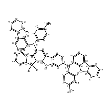 CC(C)c1ccc(N(c2ccc3c(c2)sc2c4c(c(N(c5ccc(C(C)C)nc5)c5cccc6c5oc5ncccc56)cc23)-c2ccccc2C4(C)C)c2cccc3c2oc2ncccc23)cn1